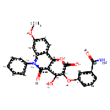 COc1ccc2c3oc(=O)c(Oc4cccc(C(N)=O)c4)c(O)c3c(=O)n(-c3ccccc3)c2c1